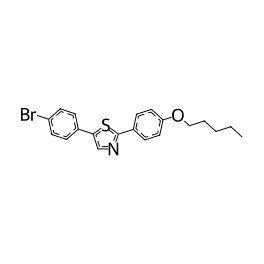 CCCCCOc1ccc(-c2ncc(-c3ccc(Br)cc3)s2)cc1